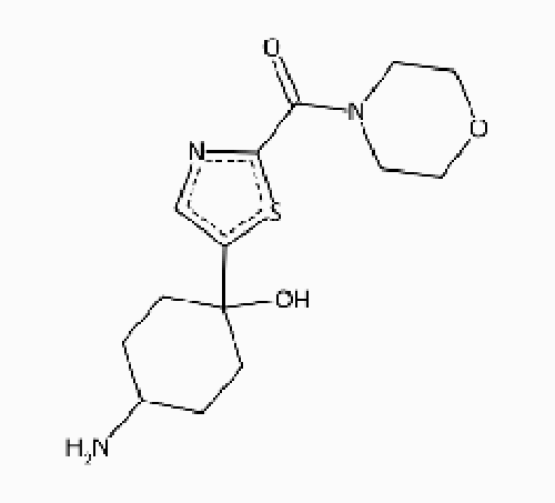 NC1CCC(O)(c2cnc(C(=O)N3CCOCC3)s2)CC1